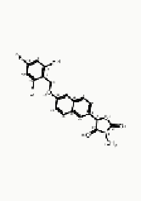 CN1C(=O)SC(c2ccc3cc(OCc4c(F)cc(F)cc4F)ccc3c2)C1=O